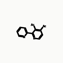 CC(=O)c1ccnc(-c2ccccn2)c1C(C)=O